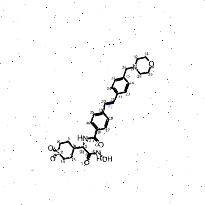 O=C(N[C@H](C(=O)NO)C1CCS(=O)(=O)CC1)c1ccc(/C=C/c2ccc(CN3CCOCC3)cc2)cc1